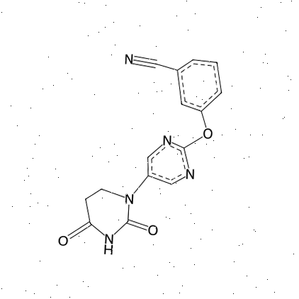 N#Cc1cccc(Oc2ncc(N3CCC(=O)NC3=O)cn2)c1